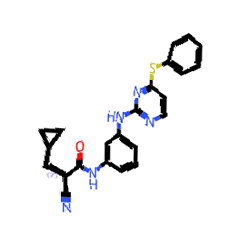 N#C/C(=C/C1CC1)C(=O)Nc1cccc(Nc2nccc(Sc3ccccc3)n2)c1